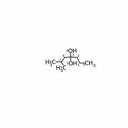 CCCC(O)(O)CC(C)C